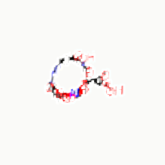 C=C1[C@H](C)C[C@H](C)/C=C/C=C/C=C(\C)[C@@H](OC)C[C@@H]2CC[C@@H](C)[C@@](O)(O2)C(=O)C(=O)N2CCCC[C@H]2C(=O)O[C@H]([C@@H](C)C[C@@H]2CC[C@@H](OCCO)[C@H](OC)C2)CC(=O)[C@H](C)/C=C(\C)[C@@H](O)[C@H]1OC